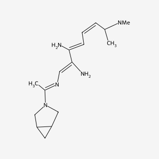 CNC(C)\C=C/C=C(N)/C(N)=C/N=C(\C)N1CC2CC2C1